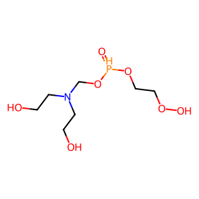 O=[PH](OCCOO)OCN(CCO)CCO